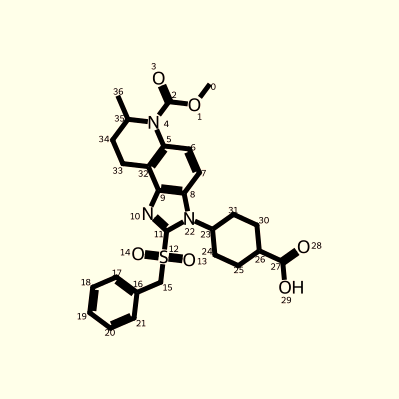 COC(=O)N1c2ccc3c(nc(S(=O)(=O)Cc4ccccc4)n3C3CCC(C(=O)O)CC3)c2CCC1C